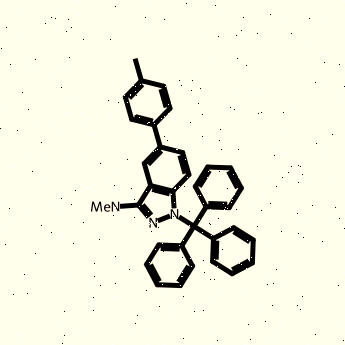 CNc1nn(C(c2ccccc2)(c2ccccc2)c2ccccc2)c2ccc(-c3ccc(C)cc3)cc12